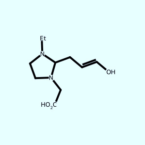 CCN1CCN(CC(=O)O)C1CC=CO